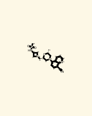 C[C@@H]1CN(c2ccc(C#N)c3ncccc23)C[C@H](CN2CC(NS(C)(=O)=O)C2)O1